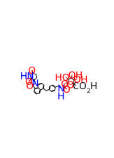 O=C1CCC(N2C(=O)c3cccc4c(Cc5ccc(CNC(=O)OC6OC(C(=O)O)C(O)C(O)C6O)cc5)ccc2c34)C(=O)N1